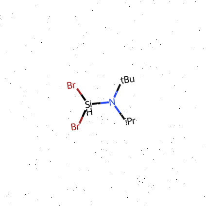 CC(C)N([SiH](Br)Br)C(C)(C)C